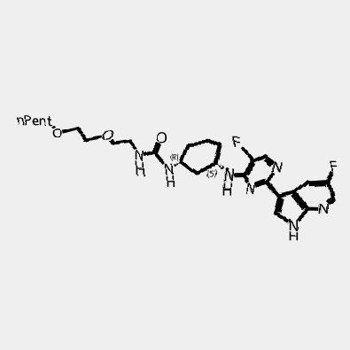 CCCCCOCCOCCNC(=O)N[C@@H]1CCC[C@H](Nc2nc(-c3c[nH]c4ncc(F)cc34)ncc2F)C1